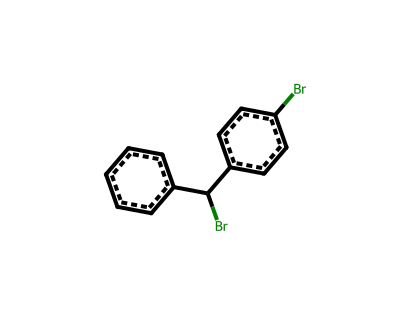 Brc1ccc(C(Br)c2ccccc2)cc1